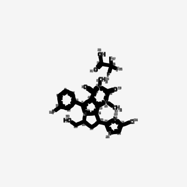 Cn1c(=O)c2c(-c3cccc(F)c3)n3c(c2n(C)c1=O)C(c1nc(Cl)cs1)CC3CO.O=C(O)C(F)(F)F